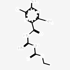 CCOC(=O)NC(=N)NC(=O)c1nc(Cl)c(N)nc1N